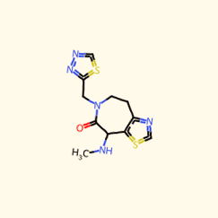 CNC1C(=O)N(Cc2nncs2)CCc2ncsc21